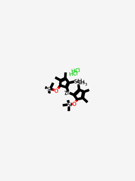 CC1=C(C)C(O[Si](C)(C)C)[C]([Zr][C]2=C([SiH3])C(C)=C(C)C2O[Si](C)(C)C)=C1[SiH3].Cl.Cl